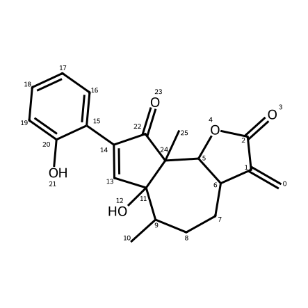 C=C1C(=O)OC2C1CCC(C)C1(O)C=C(c3ccccc3O)C(=O)C21C